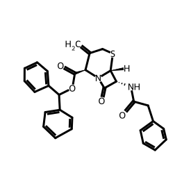 C=C1CS[C@@H]2[C@H](NC(=O)Cc3ccccc3)C(=O)N2[C@H]1C(=O)OC(c1ccccc1)c1ccccc1